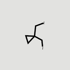 ICC1(CI)CC1